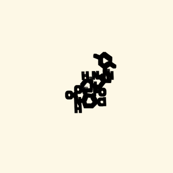 Cc1ccc(C)c(-n2ncc(C(=O)N3CCC[C@@]4(C3)OC(=O)Nc3ccc(Cl)c(F)c34)c2N)c1